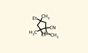 CBC1(C#N)CC(C)(CC)CC1(C)CC